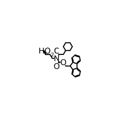 C=CCCN(C(=O)OCC1c2ccccc2-c2ccccc21)[C@@H](CC1CCCCC1)C(=O)O